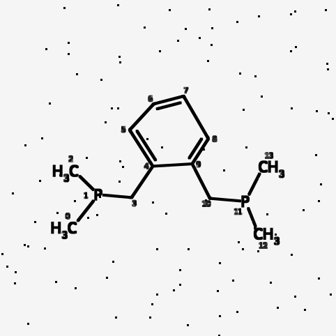 CP(C)Cc1ccccc1CP(C)C